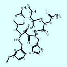 CCc1cccc(CN[C@@H](CC(C)C)C(=O)C(=O)[C@H](Cc2cnc[nH]2)NC(=O)C(CC(N)=O)NC(=O)[C@H](CC(C)C)NN)c1